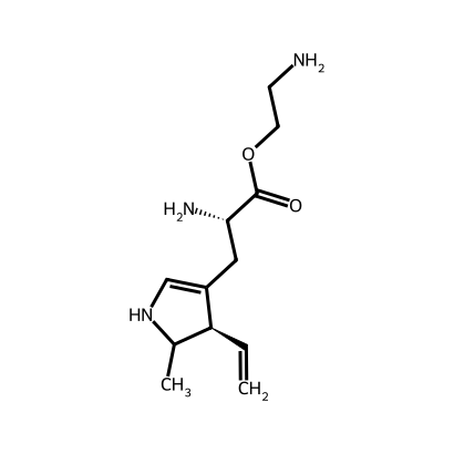 C=C[C@@H]1C(C[C@H](N)C(=O)OCCN)=CNC1C